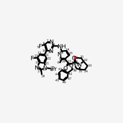 Cc1nc(Nc2ncc(F)c(-c3cc(F)c4nc(C)n(C(C)C)c4c3)n2)ccc1C(=O)N1CCC2CCC(C1)N2C(=O)OCc1ccccc1